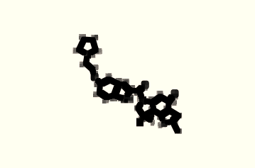 Cc1cc2c(s1)[C@@]13C[C@@H]1CN(C(=O)c1cc4cc(OCCN5CCCC5)ccc4[nH]1)C3=CC2=O